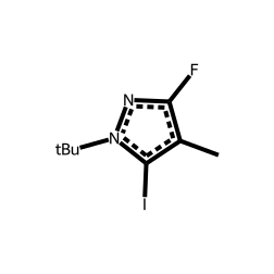 Cc1c(F)nn(C(C)(C)C)c1I